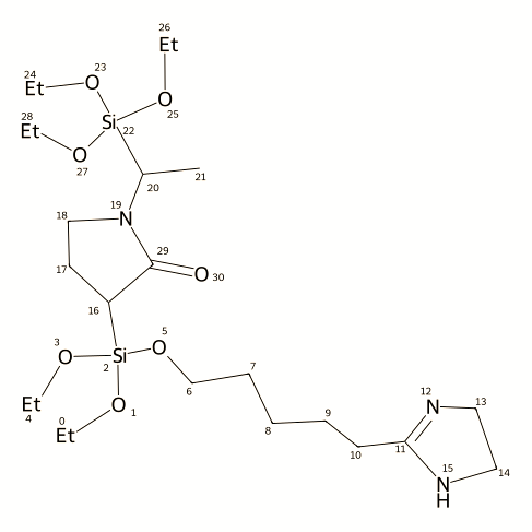 CCO[Si](OCC)(OCCCCCC1=NCCN1)C1CCN(C(C)[Si](OCC)(OCC)OCC)C1=O